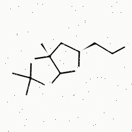 CC(=O)CC[C@@H]1C[C@H]2OC(C)(C)OC2O1